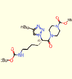 CCCCc1cn([C@@H](CCCCNC(=O)OC(C)(C)C)C(=O)N2CCN(C(=O)OC(C)(C)C)CC2)nn1